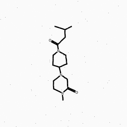 CC(C)CC(=O)N1CCC(N2CCN(C)C(=O)C2)CC1